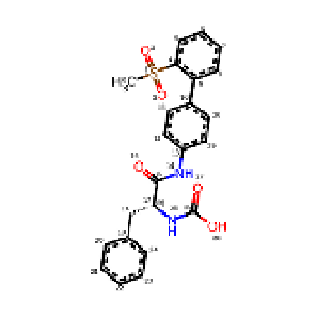 CS(=O)(=O)c1ccccc1-c1ccc(NC(=O)[C@@H](Cc2ccccc2)NC(=O)O)cc1